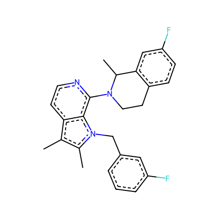 Cc1c(C)n(Cc2cccc(F)c2)c2c(N3CCc4ccc(F)cc4C3C)nccc12